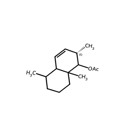 CC(=O)OC1[C@@H](C)C=CC2C(C)CCCC21C